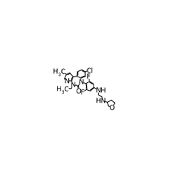 CCN1C(=O)N(c2c(F)cc(NCCNC3CCOC3)cc2F)c2cc(Cl)ccc2-c2cc(C)cnc21